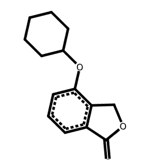 O=C1OCc2c(OC3CCCCC3)cccc21